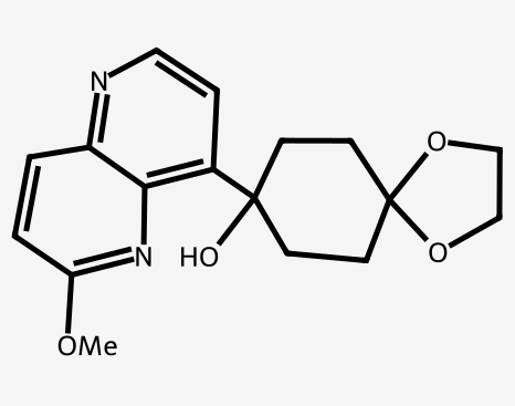 COc1ccc2nccc(C3(O)CCC4(CC3)OCCO4)c2n1